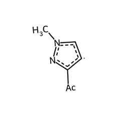 CC(=O)c1[c]cn(C)n1